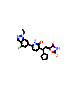 CCn1ncc2c(F)cc(-c3ccc(C(C=C4OC(=O)NC4=O)C4CCCC4)c(=O)[nH]3)cc21